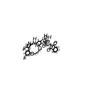 C[SH](O)(Cc1cc2nc(c1)OCCCOc1cc(F)ccc1-c1cc(ncc1F)N2)=NS(=O)(=O)CCN1C(=O)c2ccccc2C1=O